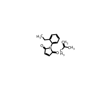 C=C(C)C.CCc1ccccc1N1C(=O)C=CC1=O